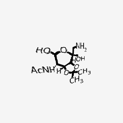 CC(=O)N[C@@H]1C(O)OC(CN)(CO)[C@@H]2OC(C)(C)O[C@H]12